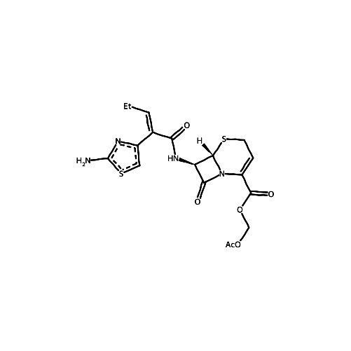 CCC=C(C(=O)N[C@@H]1C(=O)N2C(C(=O)OCOC(C)=O)=CCS[C@@H]12)c1csc(N)n1